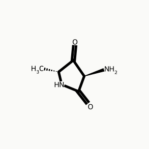 C[C@H]1NC(=O)[C@H](N)C1=O